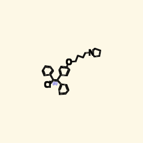 Cl/C(=C(\c1ccccc1)c1ccc(OCCCCN2CCCC2)cc1)c1ccccc1